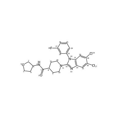 O=C(NC1CCOC1)C1CCN(c2nc3cc(Cl)c(Cl)cc3n2-c2cccc(F)c2)CC1